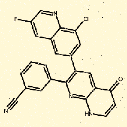 N#Cc1cccc(-c2nc3[nH]ccc(=O)c3cc2-c2cc(Cl)c3ncc(F)cc3c2)c1